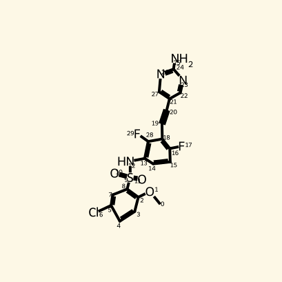 COc1ccc(Cl)cc1S(=O)(=O)Nc1ccc(F)c(C#Cc2cnc(N)nc2)c1F